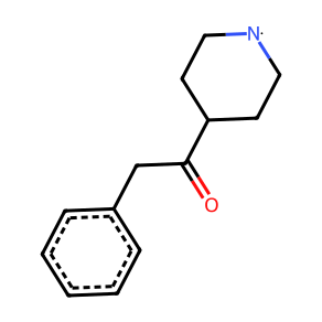 O=C(Cc1ccccc1)C1CC[N]CC1